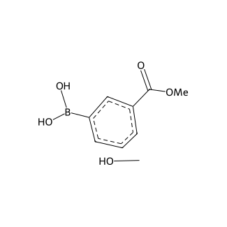 CO.COC(=O)c1cccc(B(O)O)c1